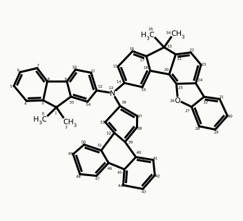 CC1(C)c2ccccc2-c2ccc(N(c3ccc4c(c3)-c3c(ccc5c3oc3ccccc35)C4(C)C)c3ccc4c5ccccc5c5ccccc5c4c3)cc21